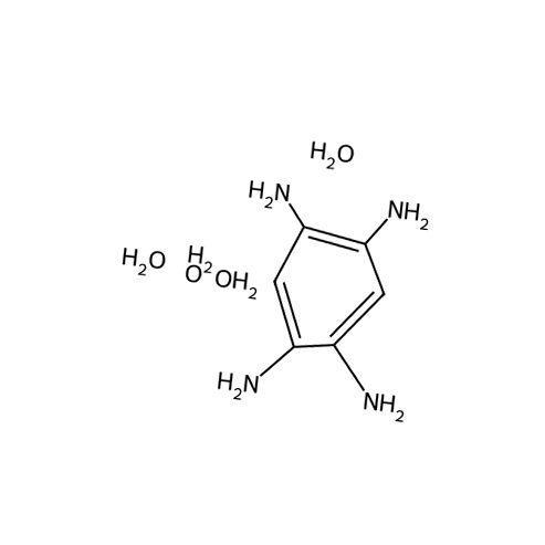 Nc1cc(N)c(N)cc1N.O.O.O.O